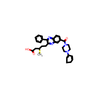 CSC(CCc1nc2cc(C(=O)N3CCN(C4=CCCC=C4)CC3)ccc2nc1-c1ccccc1)CC(=O)O